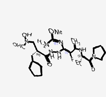 C=C(N[C@@H](CC)C(=O)N1CCCC1)/C(F)=C(\N=C(/N)OC)NNC(=O)[C@H](CC1CCCC1)CN(O)C=O